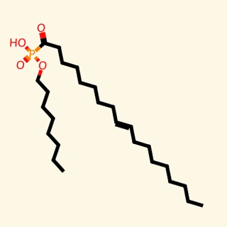 CCCCCCCCC=CCCCCCCCC(=O)P(=O)(O)OCCCCCCCC